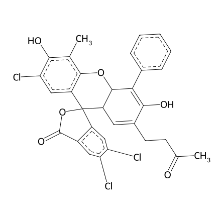 CC(=O)CCC1=CC2C(Oc3c(cc(Cl)c(O)c3C)C23OC(=O)c2cc(Cl)c(Cl)cc23)C(c2ccccc2)=C1O